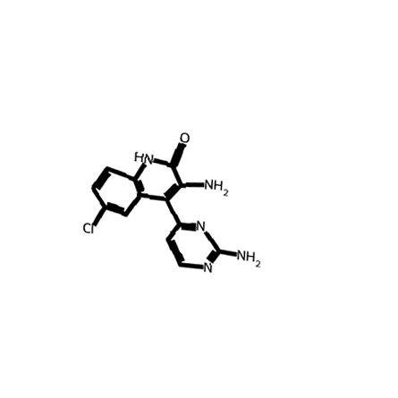 Nc1nccc(-c2c(N)c(=O)[nH]c3ccc(Cl)cc23)n1